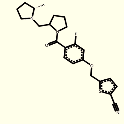 C[C@H]1CCCN1CC1CCCN1C(=O)c1ccc(OCc2ccc(C#N)s2)cc1F